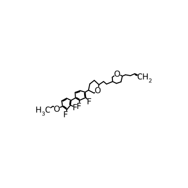 C=CCCC1CCC(CCC2CCC(c3ccc(-c4ccc(OCC)c(F)c4F)c(F)c3F)CO2)CO1